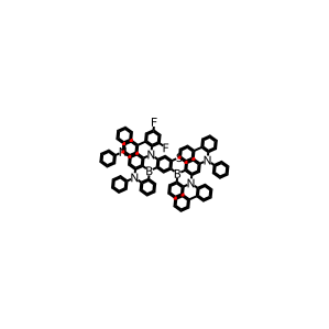 Fc1cc(F)c(N2c3cc4c(cc3B3c5ccccc5N(c5ccccc5)c5cc(N(c6ccccc6)c6ccccc6)cc2c53)B2c3ccccc3N(c3ccccc3-c3ccccc3)c3cc(N(c5ccccc5)c5ccccc5-c5ccccc5)cc(c32)S4)c(-c2ccccc2)c1